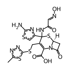 Cc1nnc(SCC2=C(C(=O)O)N3C(=O)C[C@@H]3SC2(NC(=O)C=NO)c2csc(N)n2)s1